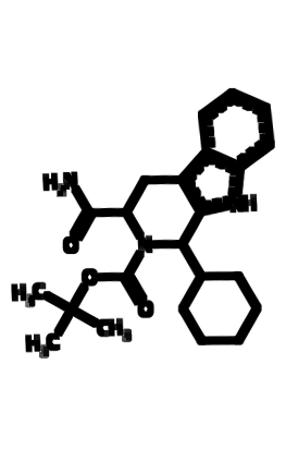 CC(C)(C)OC(=O)N1C(C(N)=O)Cc2c([nH]c3ccccc23)C1C1CCCCC1